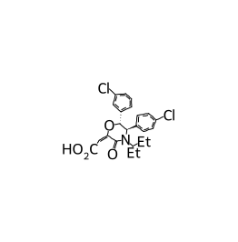 CCC(CC)N1C(=O)/C(=C\C(=O)O)O[C@H](c2cccc(Cl)c2)[C@H]1c1ccc(Cl)cc1